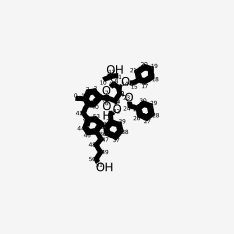 Cc1ccc([C@]2(O)O[C@H](C(C)(C)O)[C@@H](OCc3ccccc3)[C@H](OCc3ccccc3)[C@H]2OCc2ccccc2)cc1Cc1ccc(CCCCO)cc1